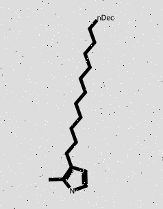 CCCCCCCCCCCCCCCCCCCCCC1=C(C)[N]C=C1